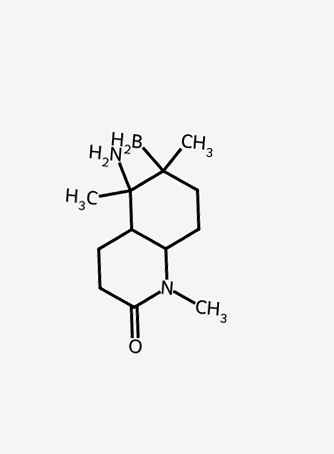 BC1(C)CCC2C(CCC(=O)N2C)C1(C)N